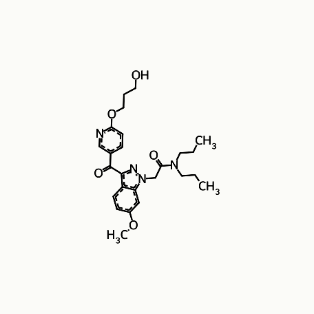 CCCN(CCC)C(=O)Cn1nc(C(=O)c2ccc(OCCCO)nc2)c2ccc(OC)cc21